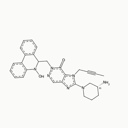 CC#CCn1c(N2CCC[C@@H](N)C2)nc2cnn(CC3c4ccccc4-c4ccccc4N3O)c(=O)c21